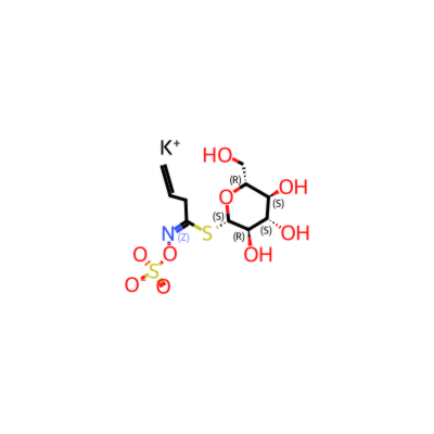 C=CC/C(=N/OS(=O)(=O)[O-])S[C@@H]1O[C@H](CO)[C@@H](O)[C@H](O)[C@H]1O.[K+]